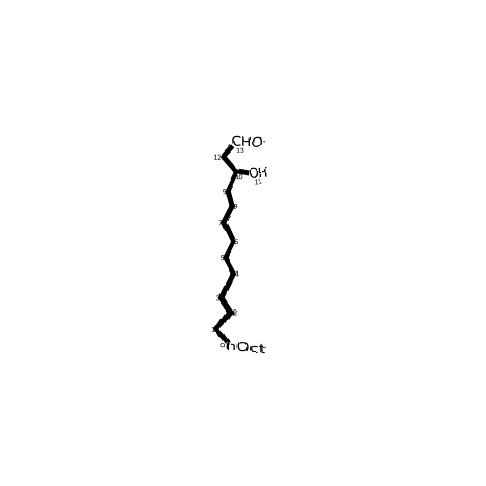 CCCCCCCCCCCCCCCCCC(O)C[C]=O